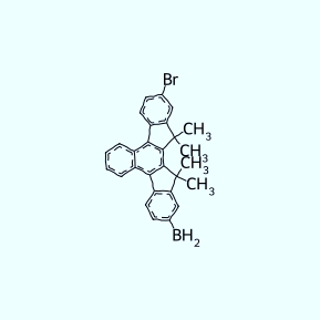 Bc1ccc2c(c1)C(C)(C)c1c3c(c4ccccc4c1-2)-c1ccc(Br)cc1C3(C)C